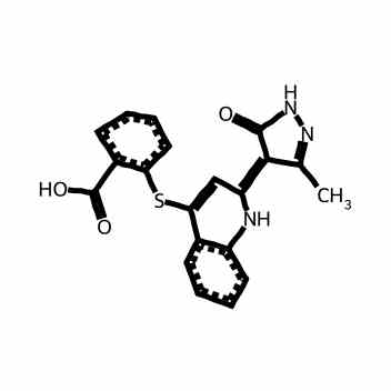 CC1=NNC(=O)C1=C1C=C(Sc2ccccc2C(=O)O)c2ccccc2N1